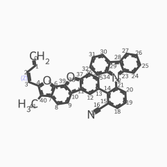 C=C/C=C\c1oc2c(ccc3c4cc(-c5c(C#N)cccc5-n5c6ccccc6c6ccccc65)ccc4oc32)c1C